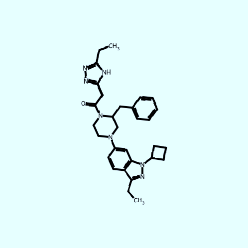 CCc1nnc(CC(=O)N2CCN(c3ccc4c(CC)nn(C5CCC5)c4c3)CC2Cc2ccccc2)[nH]1